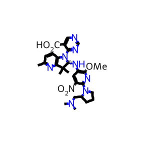 COc1nc(N2CCCC2CN(C)C)c([N+](=O)[O-])cc1N[C@@H]1N(c2ncncc2C(=O)O)c2ccc(C)nc2C1(C)C